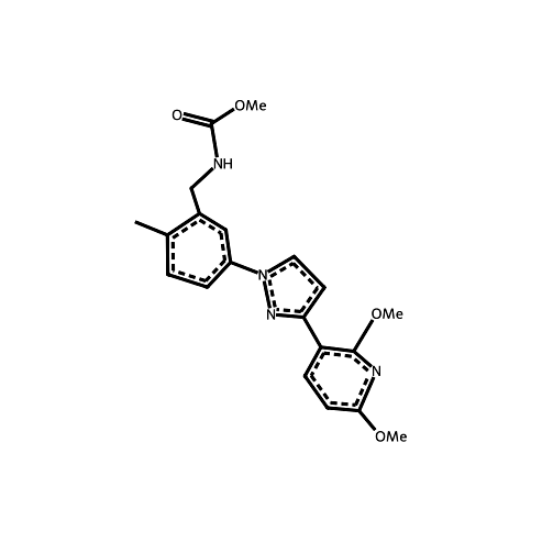 COC(=O)NCc1cc(-n2ccc(-c3ccc(OC)nc3OC)n2)ccc1C